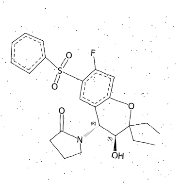 CCC1(CC)Oc2cc(F)c(S(=O)(=O)c3ccccc3)cc2[C@@H](N2CCCC2=O)[C@@H]1O